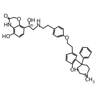 CN1CCC(c2ccccc2)(c2cc(CCOc3ccc(CCNC[C@H](O)c4ccc(O)c5c4OCC(=O)N5)cc3)ccc2O)CC1